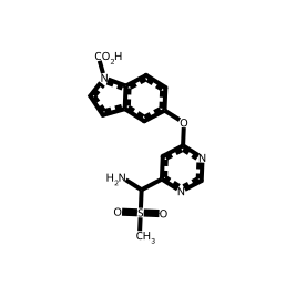 CS(=O)(=O)C(N)c1cc(Oc2ccc3c(ccn3C(=O)O)c2)ncn1